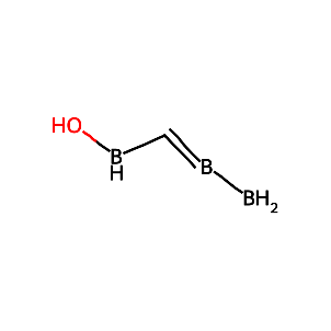 B/B=C/BO